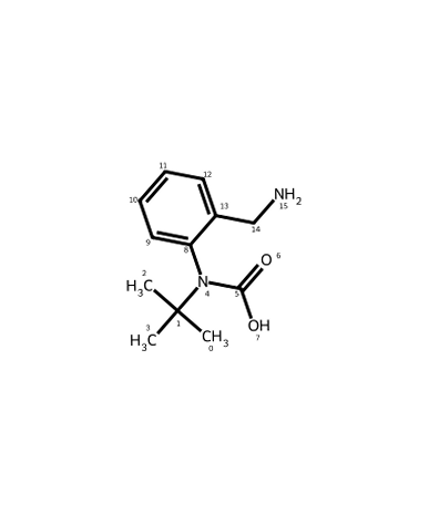 CC(C)(C)N(C(=O)O)c1ccccc1CN